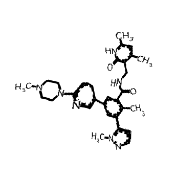 Cc1cc(C)c(CNC(=O)c2cc(-c3ccc(N4CCN(C)CC4)nc3)cc(-c3ccnn3C)c2C)c(=O)[nH]1